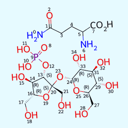 NC(=O)CCC(N)C(=O)O.O=P(O)(O)O[C@H]1[C@H](O)[C@@H](CO)O[C@@]1(CO)O[C@H]1O[C@H](CO)[C@@H](O)[C@H](O)[C@H]1O